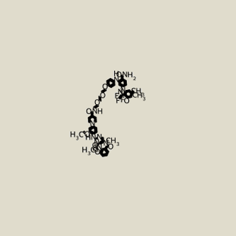 CCOc1cc(N2CCC(C(=O)NCCOCCOCCOc3ccc(Nc4cc(-n5nc(C(F)(F)F)c6c5CC(C)(C)CC6=O)ccc4C(N)=O)cc3)CC2)ccc1Nc1ncc2c(n1)N(S(C)(=O)=O)c1ccccc1C(=O)N2C